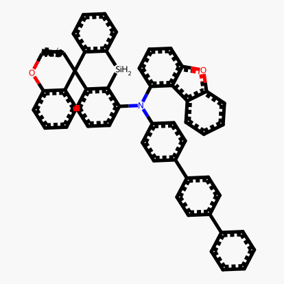 c1ccc(-c2ccc(-c3ccc(N(c4cccc5c4[SiH2]c4ccccc4C54c5ccccc5Oc5ccccc54)c4cccc5oc6ccccc6c45)cc3)cc2)cc1